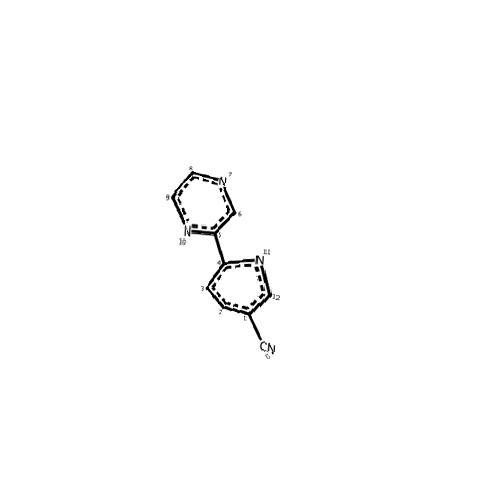 N#Cc1ccc(-c2cnccn2)nc1